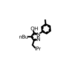 CCCCc1c(CC(C)C)nn(-c2cccc(C)c2)c1O